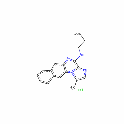 CNCCNc1nc2cc3ccccc3cc2n2c(C)cnc12.Cl